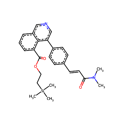 CN(C)C(=O)C=Cc1ccc(-c2cncc3cccc(C(=O)OCC[Si](C)(C)C)c23)cc1